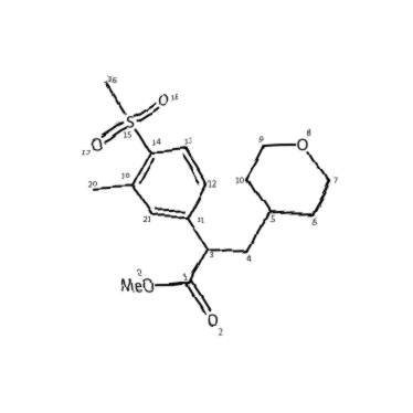 COC(=O)C(CC1CCOCC1)c1ccc(S(C)(=O)=O)c(C)c1